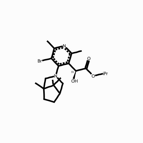 Cc1nc(C)c([C@H](O)C(=O)OC(C)C)c(N2CC3CCC(C)(C2)C3(C)C)c1Br